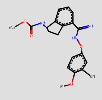 CC(C)Oc1ccc(ONC(=N)c2cccc3c2CC[C@H]3NC(=O)OC(C)(C)C)cc1C#N